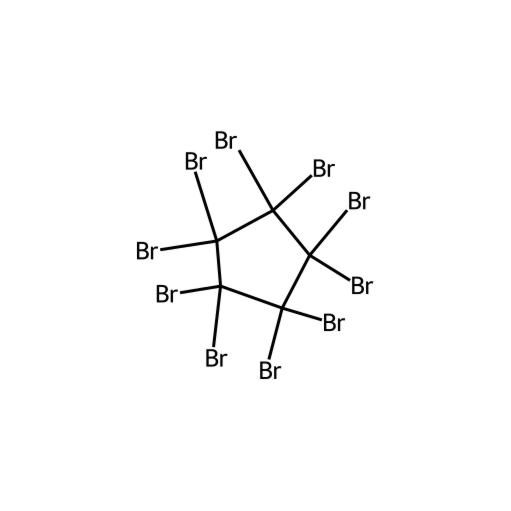 BrC1(Br)C(Br)(Br)C(Br)(Br)C(Br)(Br)C1(Br)Br